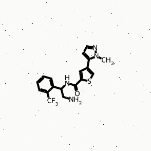 Cn1nccc1-c1csc(C(=O)NC(CN)c2ccccc2C(F)(F)F)c1